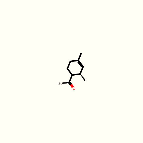 CC1=C[C@@H](C)C(C(=O)C(C)(C)C)CC1